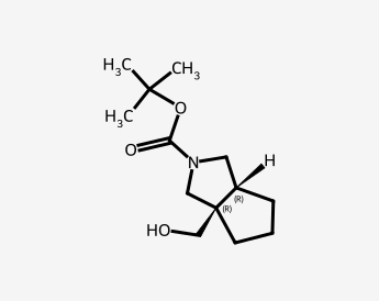 CC(C)(C)OC(=O)N1C[C@@H]2CCC[C@]2(CO)C1